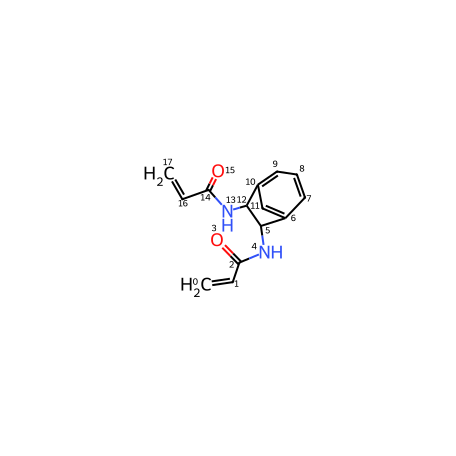 C=CC(=O)NC1c2cccc(c2)C1NC(=O)C=C